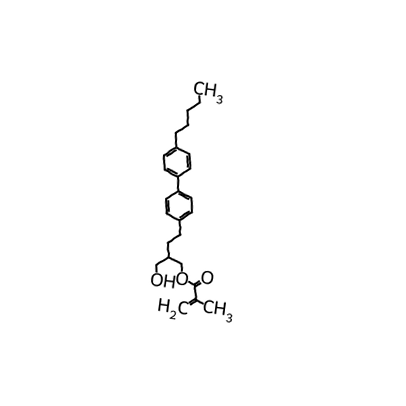 C=C(C)C(=O)OCC(CO)CCc1ccc(-c2ccc(CCCCC)cc2)cc1